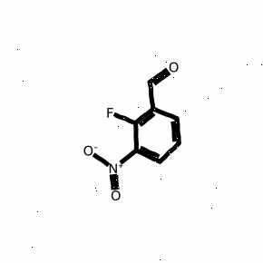 O=Cc1cccc([N+](=O)[O-])c1F